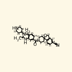 C=C(Nc1cc(C(=O)N2CCC3(CC2)OCc2cc(C#N)ccc23)ccc1C)NC1CCNCC1